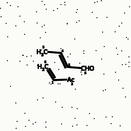 C=CC(C)=O.CC=CC=O